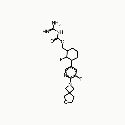 N=C(N)NC(=O)OCC1CCCC(c2cnc(N3CC4(CCOC4)C3)c(F)c2)C1F